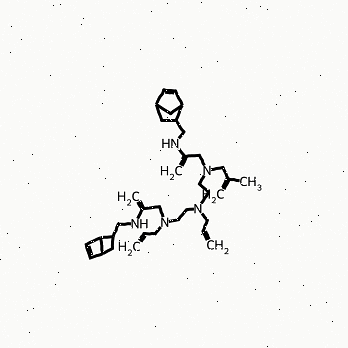 C=CCN(CCN(CC=C)CC(=C)NCC1CC2C=CC21)CCN(CC(=C)C)CC(=C)NCC1CC2C=CC1C2